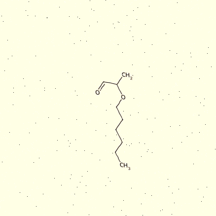 [CH2]C(C=O)OCCCCCC